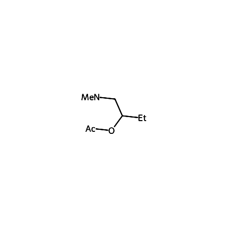 CCC(CNC)OC(C)=O